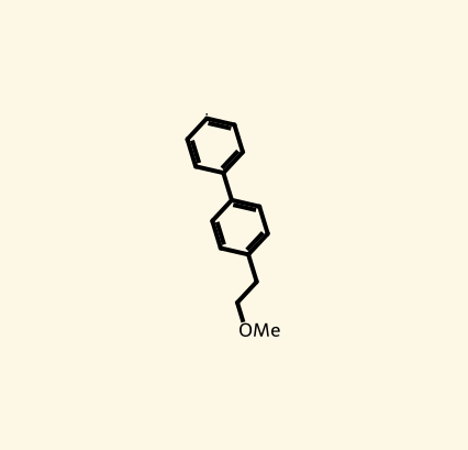 COCCc1ccc(-c2cc[c]cc2)cc1